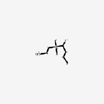 CCCC(F)[Si](C)(C)CCO